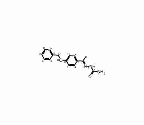 C/C(=N\NC(N)=S)c1ccc(OCc2ccccc2)cc1